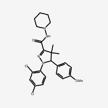 COc1ccc(C2N(c3ccc(Cl)cc3Cl)N=C(C(=O)NN3CCCCC3)C2(C)C)cc1